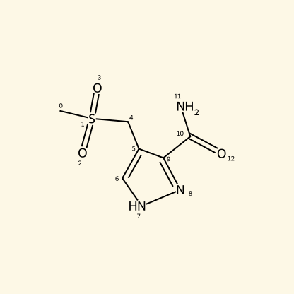 CS(=O)(=O)Cc1c[nH]nc1C(N)=O